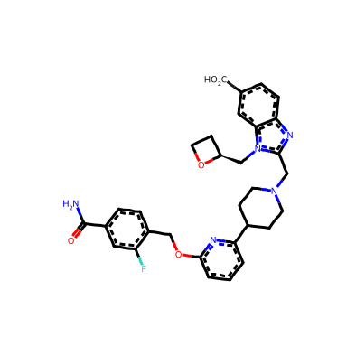 NC(=O)c1ccc(COc2cccc(C3CCN(Cc4nc5ccc(C(=O)O)cc5n4C[C@@H]4CCO4)CC3)n2)c(F)c1